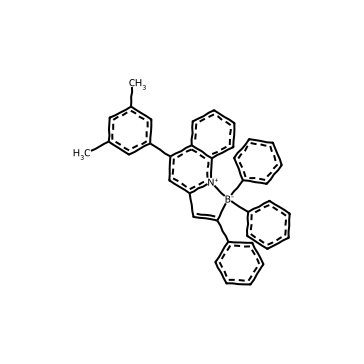 Cc1cc(C)cc(-c2cc3[n+](c4ccccc24)[B-](c2ccccc2)(c2ccccc2)C(c2ccccc2)=C3)c1